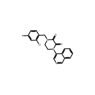 O=C1C(=O)N(c2cncc3ccccc23)CCN1Cc1ccc(F)cc1Cl